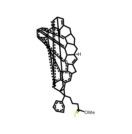 COC(=S)CCCC1(c2ccccc2)C2c3cc4c5c6c7c8c9c%10c%11c%12c%13c%14c(c%15c3c5c8c%15c%13%10)C21CC%14C=C%12CC1CC2C[C@@H](C=C6C4)C7C=9C2C=%111